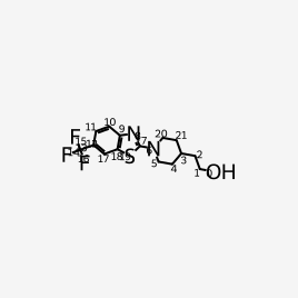 OCCC1CCN(c2nc3ccc(C(F)(F)F)cc3s2)CC1